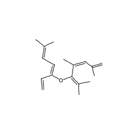 C=C/C(=C\C=C(C)C)OC(=C(C)C)/C(C)=C\C(=C)C